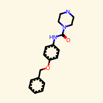 O=C(Nc1ccc(OCc2ccccc2)cc1)N1CC[N]CC1